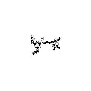 CCO[Si](CCCCNc1nc(N=[N+]=[N-])nc(N=[N+]=[N-])n1)(OCC)OCC